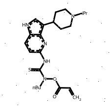 C=CC(=O)ON(CCCC)C(=S)Nc1ccc2[nH]cc(C3CCN(C(C)C)CC3)c2n1